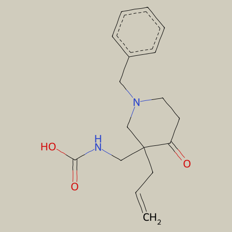 C=CCC1(CNC(=O)O)CN(Cc2ccccc2)CCC1=O